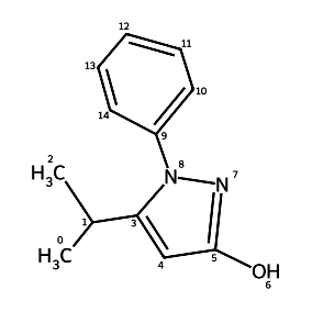 CC(C)c1cc(O)nn1-c1ccccc1